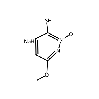 COc1ccc(S)[n+]([O-])n1.[NaH]